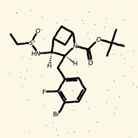 CC[S+]([O-])N[C@H]1C2CC(C2)N(C(=O)OC(C)(C)C)[C@H]1Cc1cccc(Br)c1F